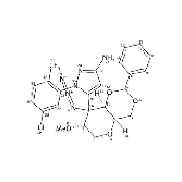 CO[C@H]1CO[C@@H]2COC(c3ccccc3)O[C@@H]2C1(N=[N+]=[N-])c1cc(N)nn1-c1cc(Cl)ccc1C(F)(F)F